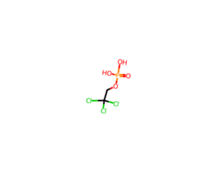 O=P(O)(O)OCC(Cl)(Cl)Cl